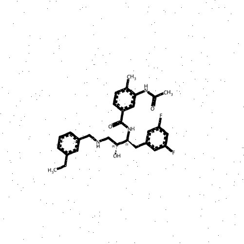 CCc1cccc(CNC[C@@H](O)[C@H](Cc2cc(F)cc(F)c2)NC(=O)c2ccc(C)c(NC(C)=O)c2)c1